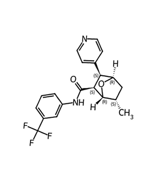 C[C@H]1C[C@H]2O[C@H]1[C@@H](C(=O)Nc1cccc(C(F)(F)F)c1)[C@H]2c1ccncc1